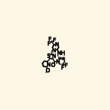 COc1cccc(-c2sc(C)nc2C(=O)N2CC(F)(F)C[C@@H](C)[C@H]2CNc2cnc(C(F)(F)F)cn2)n1